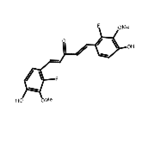 COc1c(O)ccc(/C=C/C(=O)/C=C/c2ccc(O)c(OC)c2F)c1F